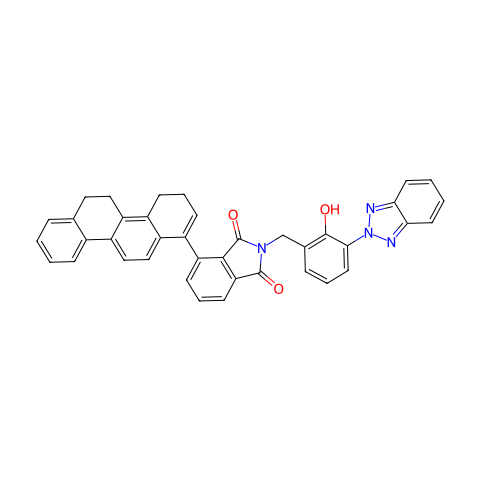 O=C1c2cccc(C3=CCCc4c3ccc3c4CCc4ccccc4-3)c2C(=O)N1Cc1cccc(-n2nc3ccccc3n2)c1O